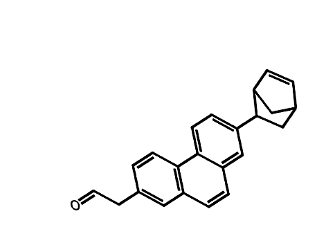 O=CCc1ccc2c(ccc3cc(C4CC5C=CC4C5)ccc32)c1